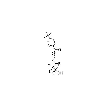 CC(C)(C)c1ccc(C(=O)OCCC(F)C(F)(F)S(=O)(=O)O)cc1